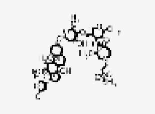 CC1CN(CCS(C)(=O)=O)CCC(O[C@@H]2[C@H](C)OCC(CO[C@@H]3[C@H](C)O[C@@H](O[C@H]4CC[C@@]5(C)C(CCC6C5C[C@H](O)[C@]5(C)[C@@H](C7=CC(=O)OC7)CC[C@]65O)C4)C[C@@H]3O)[C@@H]2O)O1